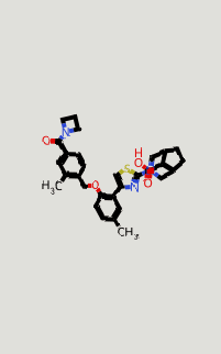 Cc1ccc(OCc2ccc(C(=O)N3CCC3)cc2C)c(-c2csc(N3CC4CCC(C3)C4C(=O)O)n2)c1